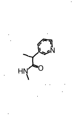 CNC(=O)C(C)c1cccnc1